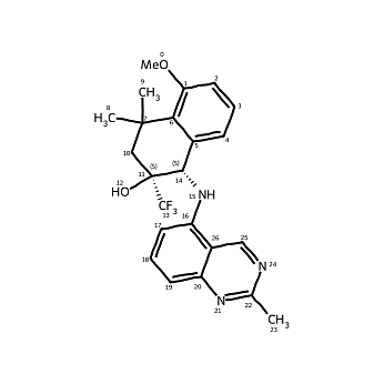 COc1cccc2c1C(C)(C)C[C@@](O)(C(F)(F)F)[C@H]2Nc1cccc2nc(C)ncc12